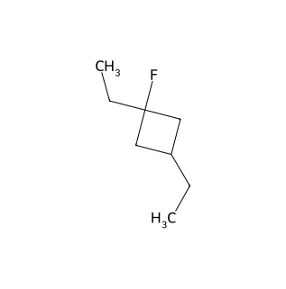 CCC1CC(F)(CC)C1